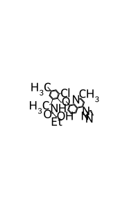 CC[C@@H](O)C(=O)N[C@@H](C)c1cc(C)cc(Cl)c1COc1cccc2c(-n3ccnn3)cc(C)nc12